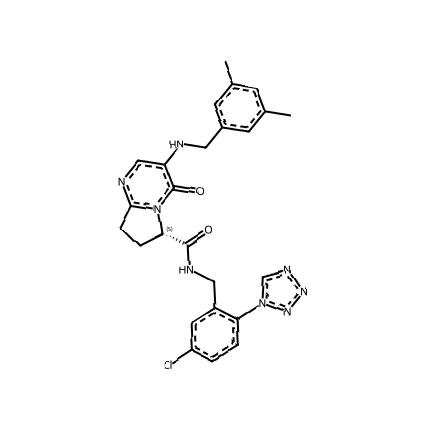 Cc1cc(C)cc(CNc2cnc3n(c2=O)[C@H](C(=O)NCc2cc(Cl)ccc2-n2cnnn2)CC3)c1